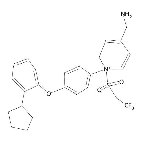 NCC1=CC[N+](c2ccc(Oc3ccccc3C3CCCC3)cc2)(S(=O)(=O)CC(F)(F)F)C=C1